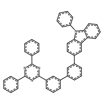 c1ccc(-c2nc(-c3ccccc3)nc(-c3cccc(-c4cccc(-c5ccc6c(c5)c5ccccc5n6-c5ccccc5)c4)c3)n2)cc1